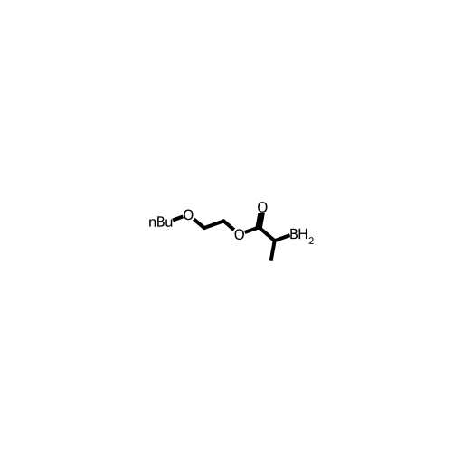 BC(C)C(=O)OCCOCCCC